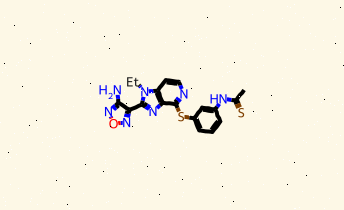 CCn1c(-c2nonc2N)nc2c(Sc3cccc(NC(C)=S)c3)nccc21